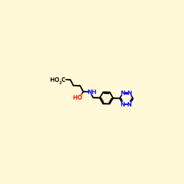 O=C(O)CCCC(O)NCc1ccc(-c2nncnn2)cc1